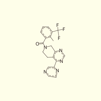 Cc1c(C(=O)N2CCc3c(ncnc3-c3cnccn3)C2)cccc1C(F)(F)F